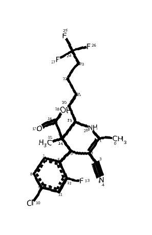 CC1=C(C#N)C(c2ccc(Cl)cc2F)C(C)(C(=O)O)C(CCCCC(F)(F)F)N1